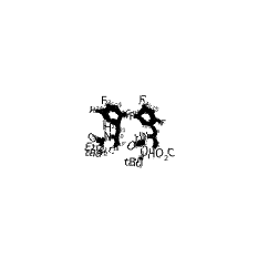 CC(C)(C)OC(=O)NC(CC(=O)O)Cc1cc(F)c(F)cc1F.CCOC(=O)CC(Cc1cc(F)c(F)cc1F)NC(=O)OC(C)(C)C